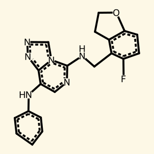 Fc1ccc2c(c1CNc1ncc(Nc3ccccc3)c3nncn13)CCO2